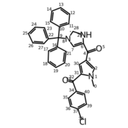 Cn1cc(C(=O)C2=CN(C(c3ccccc3)(c3ccccc3)c3ccccc3)[CH]N2)cc1C(=O)c1ccc(Cl)cc1